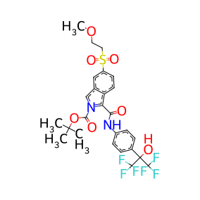 COCCS(=O)(=O)c1ccc2c(C(=O)Nc3ccc(C(O)(C(F)(F)F)C(F)(F)F)cc3)n(C(=O)OC(C)(C)C)cc2c1